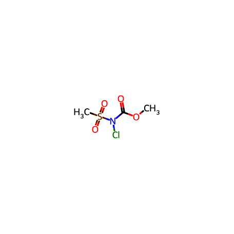 COC(=O)N(Cl)S(C)(=O)=O